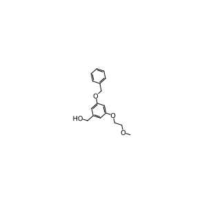 COCCOc1cc(CO)cc(OCc2ccccc2)c1